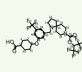 O=C(O)C1CCC(Oc2cc(CN3CCCC34CCN(C(=O)OC(C(F)(F)F)C(F)(F)F)CC4)cc(C(F)(F)F)c2)CC1